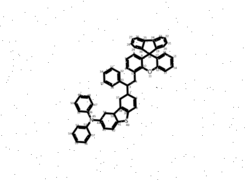 C1=CC(C(Cc2cccc3c2Oc2ccccc2C32c3ccccc3-c3ccccc32)c2ccccc2)CC2=C1SC1=CC=C(N(c3ccccc3)c3ccccc3)CC12